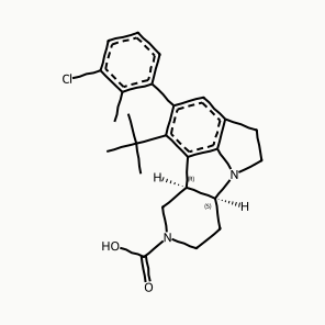 Cc1c(Cl)cccc1-c1cc2c3c(c1C(C)(C)C)[C@@H]1CN(C(=O)O)CC[C@@H]1N3CC2